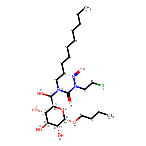 CCCCCCCCCCN(C(=O)N(CCCl)N=O)C(O)[C@H]1O[C@H](OCCCC)[C@H](O)[C@@H](O)[C@@H]1O